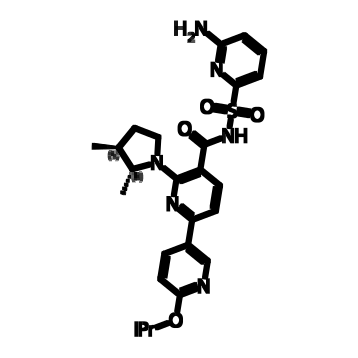 CC(C)Oc1ccc(-c2ccc(C(=O)NS(=O)(=O)c3cccc(N)n3)c(N3CC[C@H](C)[C@H]3C)n2)cn1